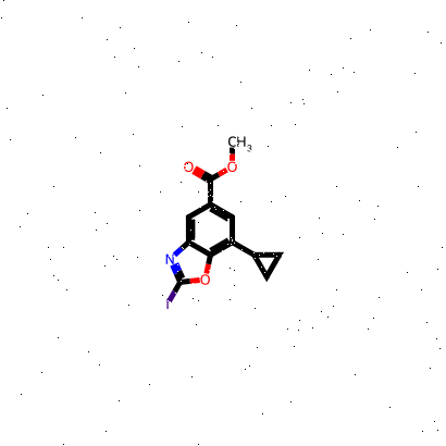 COC(=O)c1cc(C2CC2)c2oc(I)nc2c1